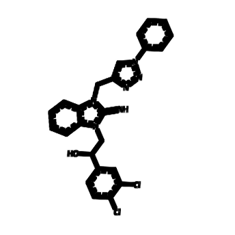 N=c1n(Cc2cn(-c3ccccc3)nn2)c2ccccc2n1CC(O)c1ccc(Cl)c(Cl)c1